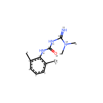 CCc1cccc(C)c1NC(=O)NC(=N)N(C)C